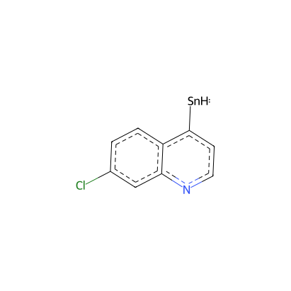 Clc1ccc2[c]([SnH])ccnc2c1